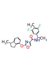 Cc1c(F)cc([C@@H](C)NC(=O)c2coc(Oc3cccc4c3CCC4C)n2)cc1F